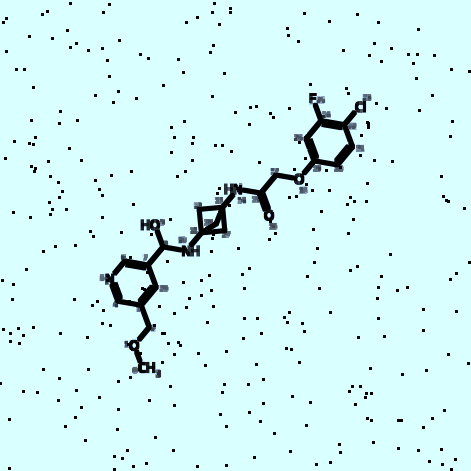 COCc1cncc(C(O)NC23CC(NC(=O)COc4ccc(Cl)c(F)c4)(C2)C3)c1